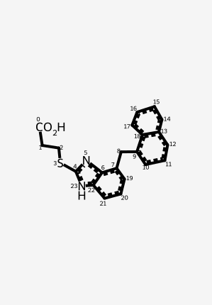 O=C(O)CCSc1nc2c(Cc3cccc4ccccc34)cccc2[nH]1